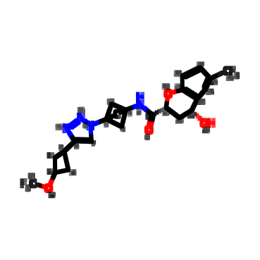 O=C(NC12CC(n3cc(C4CC(OC(F)(F)F)C4)nn3)(C1)C2)[C@H]1C[C@@H](O)c2cc(C(F)(F)F)ccc2O1